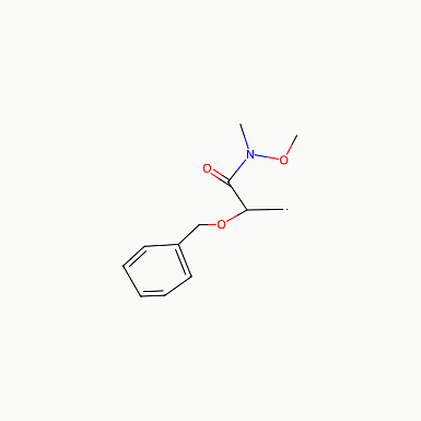 [CH2]C(OCc1ccccc1)C(=O)N(C)OC